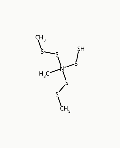 CSS[N+](C)(SS)SSC